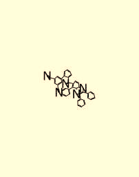 N#Cc1cc(C#N)cc(-c2ccccc2-c2nc3ccccc3c3c2ccc2nc(-c4ccccc4)c(-c4ccccc4)nc23)c1